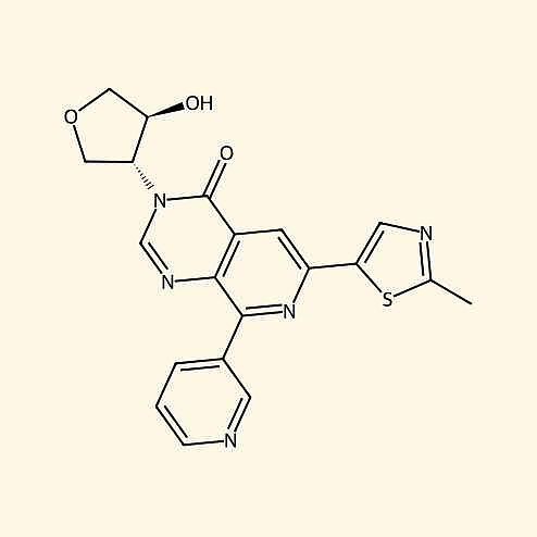 Cc1ncc(-c2cc3c(=O)n([C@@H]4COC[C@H]4O)cnc3c(-c3cccnc3)n2)s1